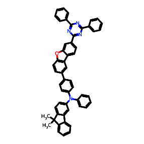 CC1(C)c2ccccc2-c2cc(N(c3ccccc3)c3ccc(-c4ccc5oc6cc(-c7nc(-c8ccccc8)nc(-c8ccccc8)n7)ccc6c5c4)cc3)ccc21